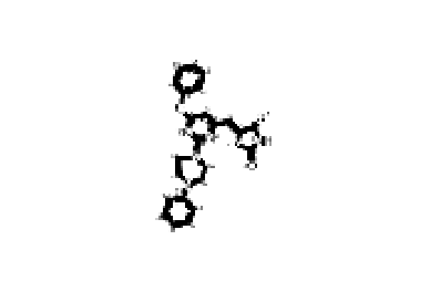 O=C1NC(=O)C(=Cc2cc(Oc3ccccc3)nc(N3CCN(c4ccccc4)CC3)n2)S1